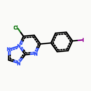 Clc1cc(-c2ccc(I)cc2)nc2ncnn12